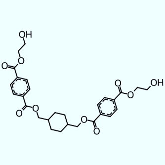 O=C(OCCO)c1ccc(C(=O)OCC2CCC(COC(=O)c3ccc(C(=O)OCCO)cc3)CC2)cc1